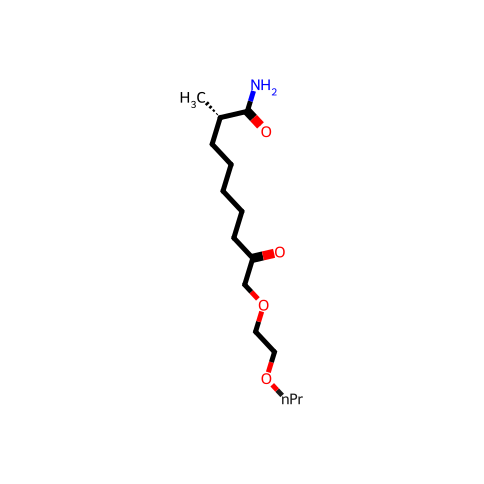 CCCOCCOCC(=O)CCCCC[C@H](C)C(N)=O